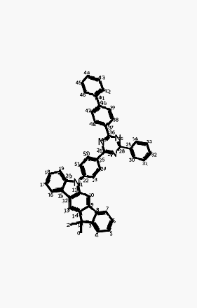 CC1(C)c2ccccc2-c2cc3c(cc21)c1ccccc1n3-c1ccc(-c2nc(-c3ccccc3)nc(-c3ccc(-c4ccccc4)cc3)n2)cc1